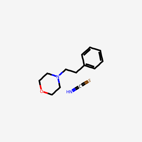 N=C=S.c1ccc(CCN2CCOCC2)cc1